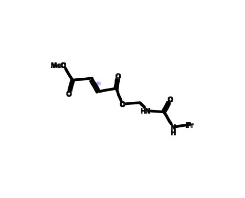 COC(=O)/C=C/C(=O)OCNC(=O)NC(C)C